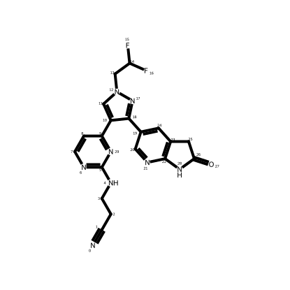 N#CCCNc1nccc(-c2cn(CC(F)F)nc2-c2cnc3c(c2)CC(=O)N3)n1